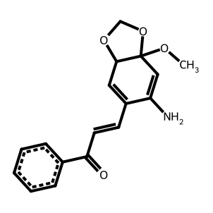 COC12C=C(N)C(C=CC(=O)c3ccccc3)=CC1OCO2